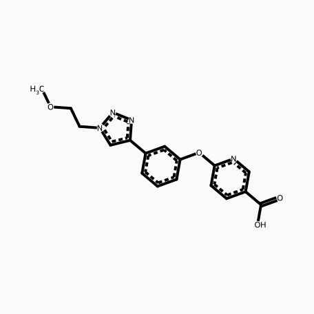 COCCn1cc(-c2cccc(Oc3ccc(C(=O)O)cn3)c2)nn1